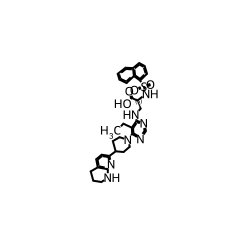 CCc1c(NC[C@H](NS(=O)(=O)c2cccc3ccccc23)C(=O)O)ncnc1N1CCC(c2ccc3c(n2)NCCC3)CC1